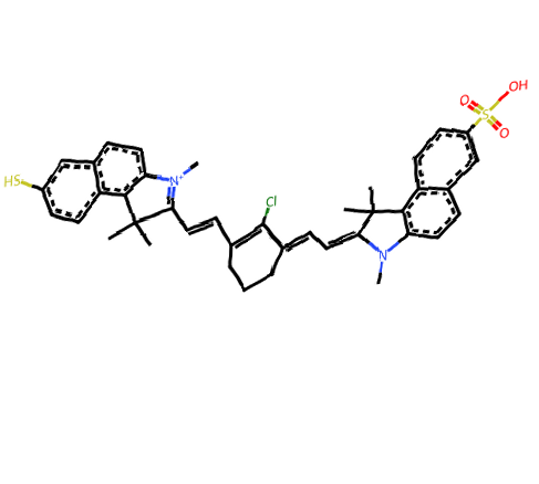 CN1/C(=C/C=C2\CCCC(/C=C/C3=[N+](C)c4ccc5cc(S)ccc5c4C3(C)C)=C2Cl)C(C)(C)c2c1ccc1cc(S(=O)(=O)O)ccc21